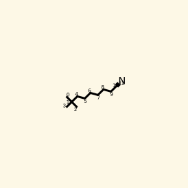 CC(C)(C)CCCCCCC#N